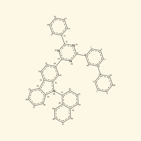 c1ccc(-c2cccc(-c3nc(-c4ccccc4)nc(-c4ccc5c6ccccc6n(-c6cccc7ccccc67)c5c4)n3)c2)cc1